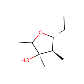 CC[C@H]1OC(C)[C@](C)(O)[C@@H]1C